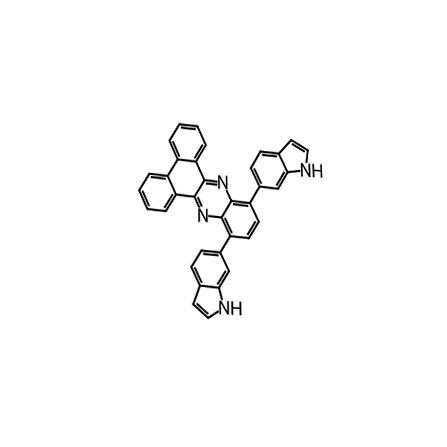 c1ccc2c(c1)c1ccccc1c1nc3c(-c4ccc5cc[nH]c5c4)ccc(-c4ccc5cc[nH]c5c4)c3nc21